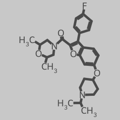 CC1CN(C(=O)c2oc3cc(OC4CCN(C(C)C)CC4)ccc3c2-c2ccc(F)cc2)CC(C)O1